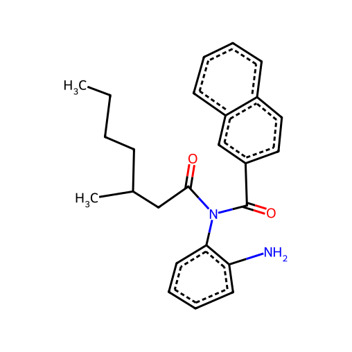 CCCCC(C)CC(=O)N(C(=O)c1ccc2ccccc2c1)c1ccccc1N